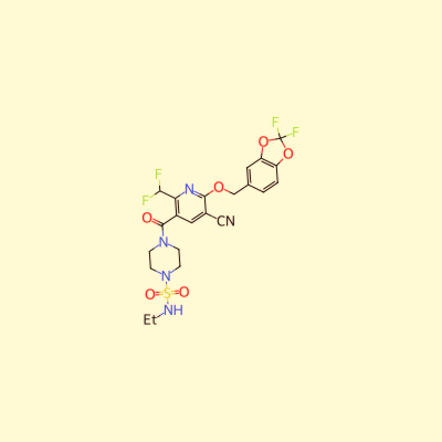 CCNS(=O)(=O)N1CCN(C(=O)c2cc(C#N)c(OCc3ccc4c(c3)OC(F)(F)O4)nc2C(F)F)CC1